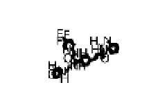 Nc1ccccc1NC(=O)/C=C/c1ccc(C(NCCN2C[C@@H]3C[C@H]2CO3)C(=O)Nc2ccc(C(F)(F)F)cn2)cc1